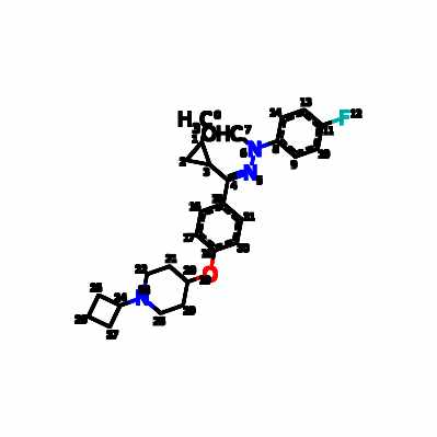 CC1CC1/C(=N\N(C=O)c1ccc(F)cc1)c1ccc(OC2CCN(C3CCC3)CC2)cc1